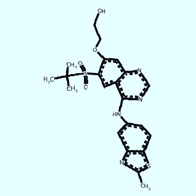 Cc1nc2cc(Nc3ncnc4cc(OCCO)c(S(=O)(=O)C(C)(C)C)cc34)ccc2s1